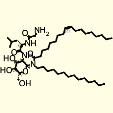 CCCCCCCC/C=C\CCCCCCCC(=O)N(CCCCCCCCCCCCCC)[C@@H]1O[C@H](CO)[C@@H](O)[C@H](O)[C@H]1NC(=O)[C@H](CC(C)C)NC(=O)CN